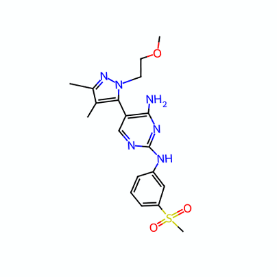 COCCn1nc(C)c(C)c1-c1cnc(Nc2cccc(S(C)(=O)=O)c2)nc1N